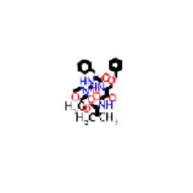 COC(=O)C(NC(=O)C(=O)C(COCc1ccccc1)NC(=O)[C@@H](CC1CCCCC1)NC(=O)N1CCOCC1)C(C)C